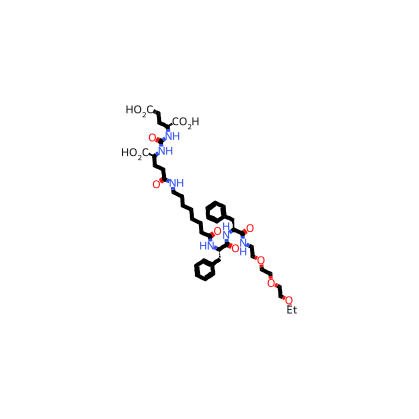 CCOCCOCCOCCNC(=O)[C@H](Cc1ccccc1)NC(=O)[C@H](Cc1ccccc1)NC(=O)CCCCCCCNC(=O)CC[C@H](NC(=O)N[C@@H](CCC(=O)O)C(=O)O)C(=O)O